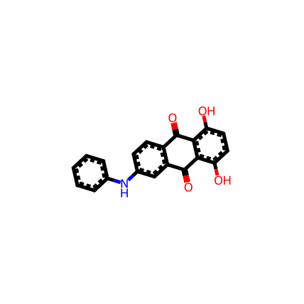 O=C1c2ccc(Nc3ccccc3)cc2C(=O)c2c(O)ccc(O)c21